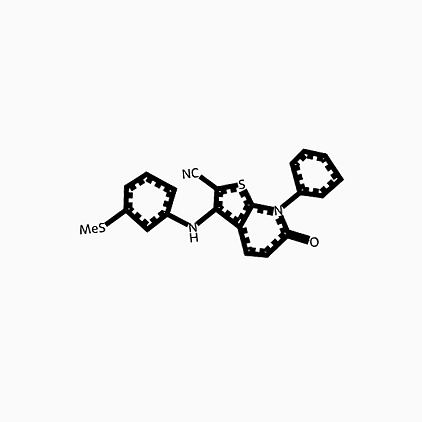 CSc1cccc(Nc2c(C#N)sc3c2ccc(=O)n3-c2ccccc2)c1